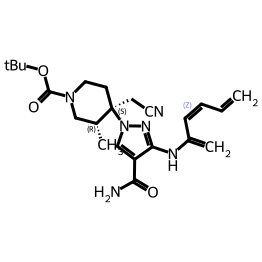 C=C/C=C\C(=C)Nc1nn([C@]2(CC#N)CCN(C(=O)OC(C)(C)C)C[C@H]2C)cc1C(N)=O